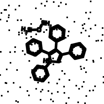 C1=C(c2ccccc2)C(c2ccccc2)=C(c2ccccc2)[SiH]1c1ccccc1.[SiH3]O[SiH3]